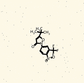 CC(C)(C)c1cc(=O)n(-c2ccc([N+](=O)[O-])c(C(F)(F)F)c2)o1